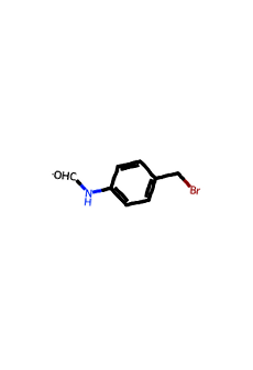 O=[C]Nc1ccc(CBr)cc1